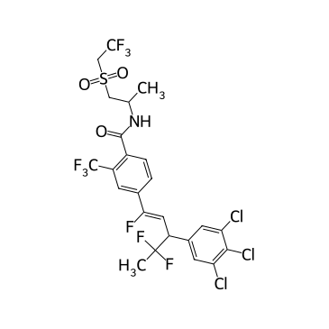 CC(CS(=O)(=O)CC(F)(F)F)NC(=O)c1ccc(/C(F)=C/C(c2cc(Cl)c(Cl)c(Cl)c2)C(C)(F)F)cc1C(F)(F)F